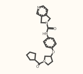 O=C(Nc1ccc(OC2CCN(C(=O)C3CCCC3)C2)cc1)N1Cc2ccncc2C1